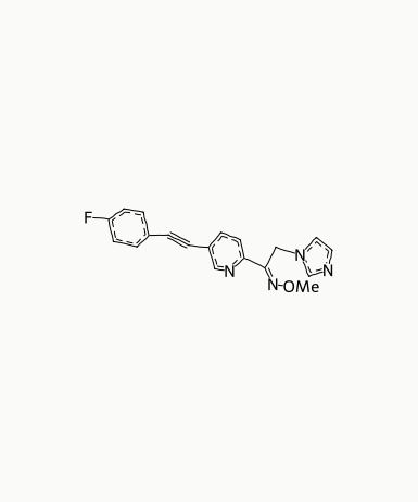 CO/N=C(\Cn1ccnc1)c1ccc(C#Cc2ccc(F)cc2)cn1